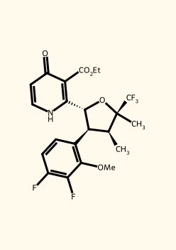 CCOC(=O)c1c([C@@H]2O[C@@](C)(C(F)(F)F)[C@@H](C)[C@H]2c2ccc(F)c(F)c2OC)[nH]ccc1=O